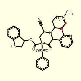 CCOc1ncccc1C1C(=O)[N+](C(=O)OC2CNc3ccccc32)(S(=O)(=O)c2ccccc2)CC(C#N)N1C1CCN(C)CC1